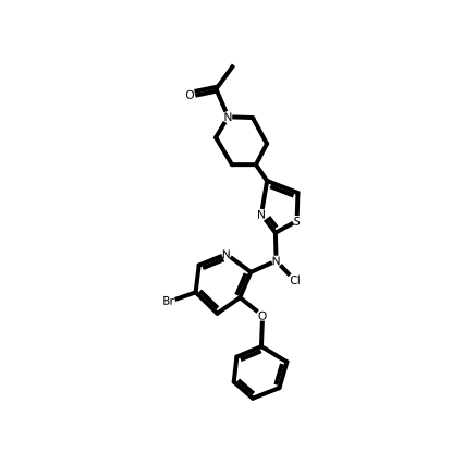 CC(=O)N1CCC(c2csc(N(Cl)c3ncc(Br)cc3Oc3ccccc3)n2)CC1